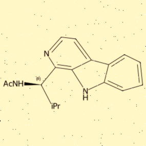 CC(=O)N[C@@H](c1nccc2c1[nH]c1ccccc12)C(C)C